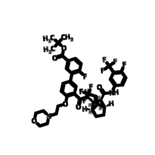 CC(C)(C)OC(=O)c1ccc(F)c(-c2ccc(OCCN3CCOCC3)c(C(=O)N[C@H]3[C@@H](C(=O)Nc4ccc(F)c(C(F)(F)F)c4)[C@H]4CC[C@@H]3/C4=C\C(F)(F)F)c2)c1